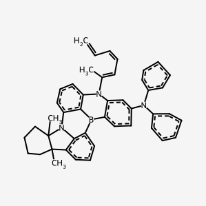 C=C/C=C\C=C(/C)N1c2cc(N(c3ccccc3)c3ccccc3)ccc2B2c3cccc4c3N(c3cccc1c32)C1(C)CCCCC41C